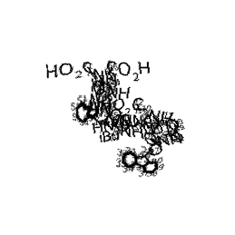 CC[C@H](C)[C@H](NC(=O)CNC(=O)[C@H](CCC(=O)O)NC(=O)[C@@H]1CCCN1C(=O)CNC(=O)OCC1c2ccccc2-c2ccccc21)C(=O)N[C@@H](Cc1c[nH]c2ccccc12)C(=O)NCC(=O)N[C@@H](CCC(=O)O)C(=O)NCC(=O)O